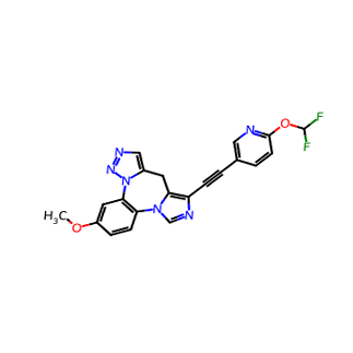 COc1ccc2c(c1)-n1nncc1Cc1c(C#Cc3ccc(OC(F)F)nc3)ncn1-2